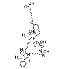 CC1(C)C(=CC=CC=CC2N(CCCCS(=O)(=O)O)c3ccc4ccccc4c3C2(C)C)N(CCCCS(=O)(=O)O)c2ccc3ccc(OCCCCCC(=O)O)cc3c21